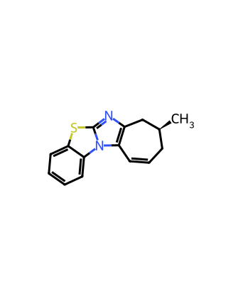 C[C@H]1CC=Cc2c(nc3sc4ccccc4n23)C1